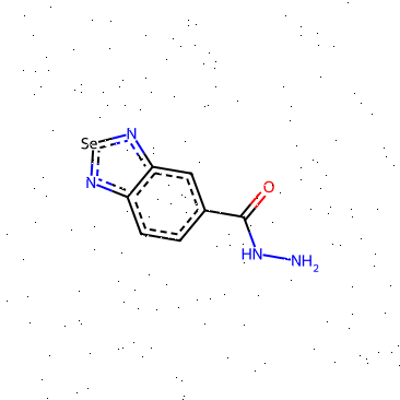 NNC(=O)c1ccc2n[se]nc2c1